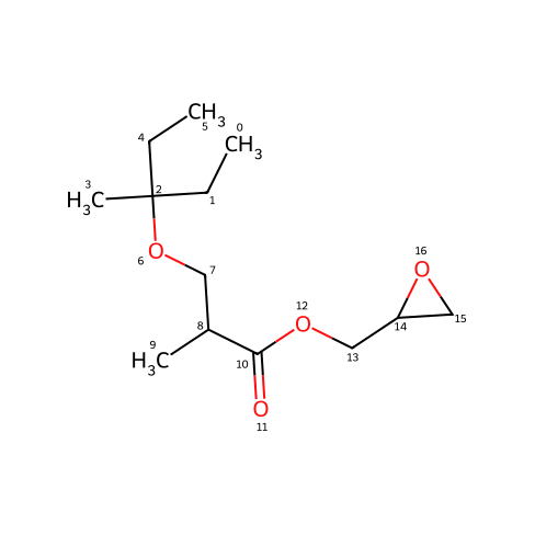 CCC(C)(CC)OCC(C)C(=O)OCC1CO1